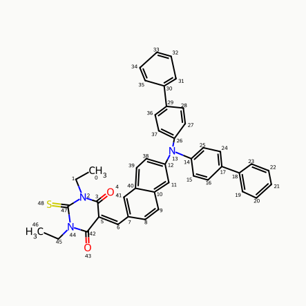 CCN1C(=O)C(=Cc2ccc3cc(N(c4ccc(-c5ccccc5)cc4)c4ccc(-c5ccccc5)cc4)ccc3c2)C(=O)N(CC)C1=S